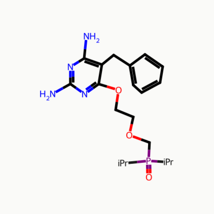 CC(C)P(=O)(COCCOc1nc(N)nc(N)c1Cc1ccccc1)C(C)C